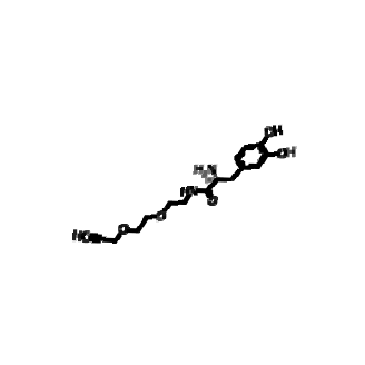 C#CCOCCOCCNC(=O)[C@H](N)Cc1ccc(O)c(O)c1